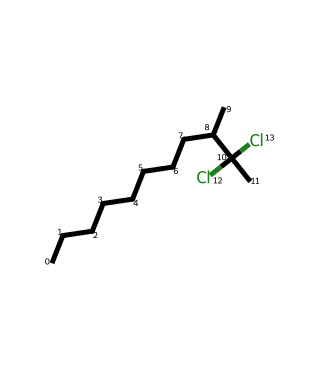 CCCCCCCCC(C)C(C)(Cl)Cl